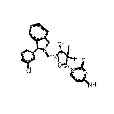 Nc1ccn([C@@H]2O[C@H](CN3Cc4ccccc4C3c3cccc(Cl)c3)[C@@H](O)C2(F)F)c(=O)n1